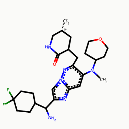 CN(c1cc2nc(C(N)C3CCC(F)(F)CC3)cn2nc1CC1C[C@@H](C(F)(F)F)CNC1=O)C1CCOCC1